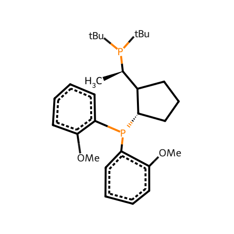 COc1ccccc1P(c1ccccc1OC)[C@H]1CCCC1[C@@H](C)P(C(C)(C)C)C(C)(C)C